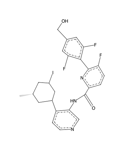 C[C@@H]1CC(I)CC(c2ccncc2NC(=O)c2ccc(F)c(-c3c(F)cc(CO)cc3F)n2)C1